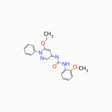 CCOc1cc(=NC(=O)Nc2ccccc2OC)cnn1-c1ccccc1